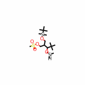 C[SiH](C)OC(C(CO[Si](C)(C)C(C)(C)C)COS(C)(=O)=O)C(C)(C)C